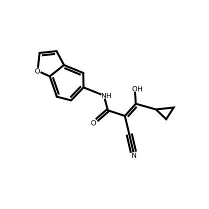 N#CC(C(=O)Nc1ccc2occc2c1)=C(O)C1CC1